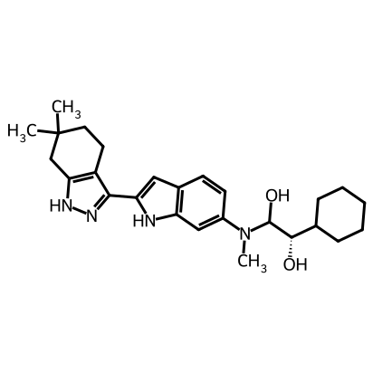 CN(c1ccc2cc(-c3n[nH]c4c3CCC(C)(C)C4)[nH]c2c1)C(O)[C@@H](O)C1CCCCC1